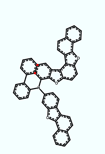 c1ccc(-c2ccccc2N(c2ccc3c(c2)oc2c4ccccc4ccc32)c2cccc3c2oc2ccc4oc5c6ccccc6ccc5c4c23)cc1